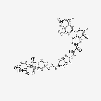 COc1cc(-c2cn(C)c(=O)c3c2CCN(C(=O)NCC2CC4CN(CCOc5ccc6c(c5)C(=O)N(C5CCC(=O)NC5=O)C6=O)CC4C2)C3)cc(OC)c1CN(C)C